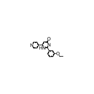 CCOc1cccc(-c2nc(=O)cc(-c3ccncc3)[nH]2)c1